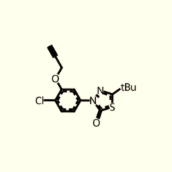 C#CCOc1cc(-n2nc(C(C)(C)C)sc2=O)ccc1Cl